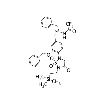 C[Si](C)(C)CCN1C(=O)CN(c2ccc(C[C@H](Cc3ccccc3)NC(=O)C(F)(F)F)cc2OCc2ccccc2)S1(=O)=O